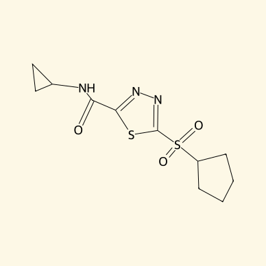 O=C(NC1CC1)c1nnc(S(=O)(=O)C2CCCC2)s1